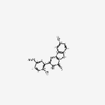 CNc1cc(-c2nc3c(oc4ccc(Br)cc43)c(=O)[nH]2)c(Cl)cn1